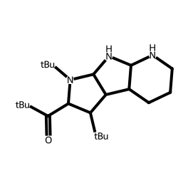 CC(C)(C)C(=O)C1C(C(C)(C)C)C2C3CCCNC3NC2N1C(C)(C)C